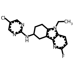 CCn1c2c(c3nc(F)ccc31)CC(Nc1ncc(Cl)cn1)CC2